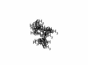 CNC(=O)CCC(=O)OCC(=O)[C@]1(O)Cc2c(O)c3c(c(O)c2[C@@H](OC2CC(N)C(NC(=O)CCC(=O)OCC(=O)[C@]4(O)Cc5c(O)c6c(c(O)c5[C@@H](OC5CC(N)C(NC(=O)CCC(=O)OCC(=O)[C@]7(O)Cc8c(O)c9c(c(O)c8[C@@H](OC8CC(N)C(O)C(C)O8)C7)C(=O)c7c(OC)cccc7C9=O)C(C)O5)C4)C(=O)c4c(OC)cccc4C6=O)C(C)O2)C1)C(=O)c1c(OC)cccc1C3=O